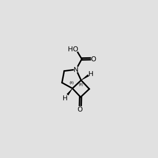 O=C1C[C@@H]2[C@H]1CCN2C(=O)O